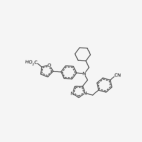 N#Cc1ccc(Cn2cncc2CN(CC2CCCCC2)c2ccc(-c3ccc(C(=O)O)o3)cc2)cc1